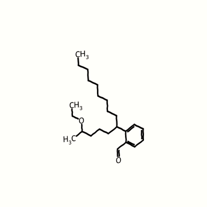 CCCCCCCCCC(CCCC(C)OCC)c1ccccc1C=O